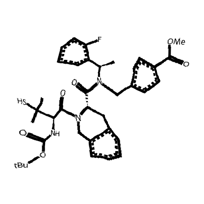 COC(=O)c1ccc(CN(C(=O)[C@@H]2Cc3ccccc3CN2C(=O)[C@@H](NC(=O)OC(C)(C)C)C(C)(C)S)[C@H](C)c2ccccc2F)cc1